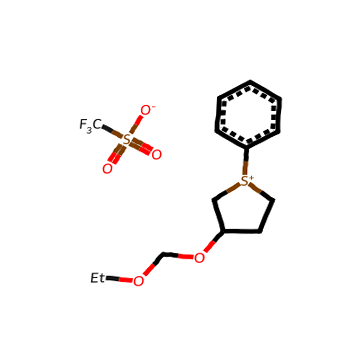 CCOCOC1CC[S+](c2ccccc2)C1.O=S(=O)([O-])C(F)(F)F